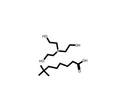 CC(C)(C)CCCCCC(=O)O.OCCN(CCO)CCO